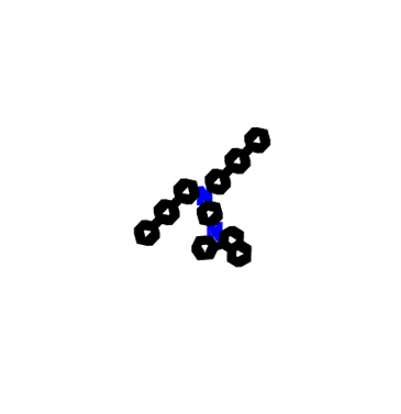 c1ccc(-c2ccc(-c3ccc(N(c4ccc(-n5c6ccccc6c6c7ccccc7ccc65)cc4)c4cccc(-c5ccc(-c6ccccc6)cc5)c4)cc3)cc2)cc1